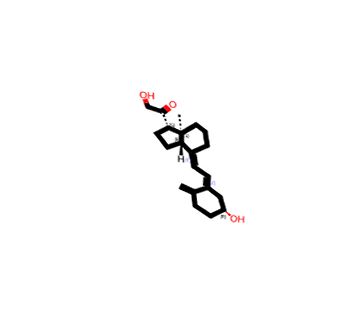 C=C1CC[C@@H](O)C/C1=C/C=C1\CCC[C@]2(C)[C@@H](C(=O)CO)CC[C@@H]12